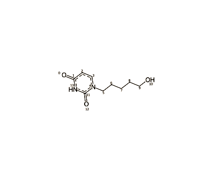 O=c1ccn(CCCCCO)c(=O)[nH]1